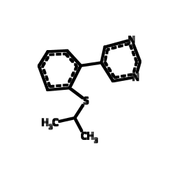 CC(C)Sc1ccccc1-c1cncnc1